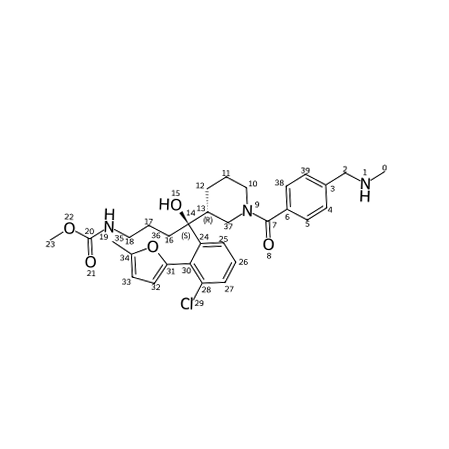 CNCc1ccc(C(=O)N2CCC[C@@H]([C@@](O)(CCCNC(=O)OC)c3cccc(Cl)c3-c3ccc(C)o3)C2)cc1